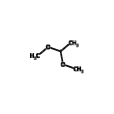 CO[C](C)OC